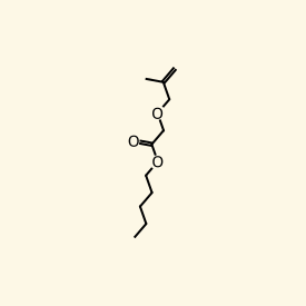 C=C(C)COCC(=O)OCCCCC